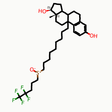 C[C@]12CCC3(CCCCCCCCC[S+]([O-])CCCC(F)(F)C(F)(F)F)c4ccc(O)cc4CCC3C1CC[C@@H]2O